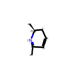 CC1=N[C@@H](C)CC=C1